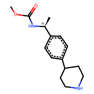 COC(=O)N[C@@H](C)c1ccc(C2CCNCC2)cc1